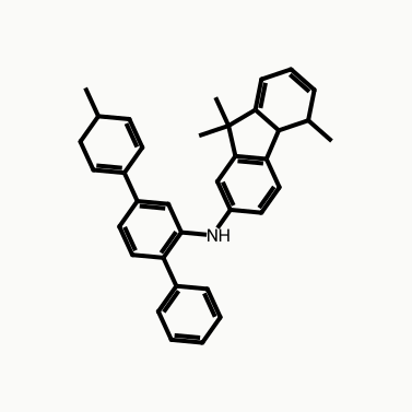 CC1C=CC(c2ccc(-c3ccccc3)c(Nc3ccc4c(c3)C(C)(C)C3=CC=CC(C)C34)c2)=CC1